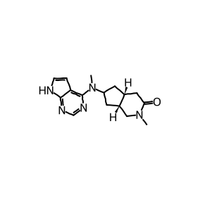 CN1C[C@@H]2CC(N(C)c3ncnc4[nH]ccc34)C[C@@H]2CC1=O